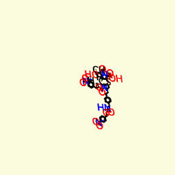 C[C@@H](O)[C@H]1C(=O)N2C(C(=O)O)=C(S[C@H]3C[C@@H](CCc4ccc(CNC(=O)OCc5ccc([N+](=O)[O-])cc5)cc4)N(C(=O)OCc4ccc([N+](=O)[O-])cc4)C3)[C@H](C)[C@H]12